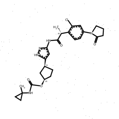 C[C@@H](C(=O)Nc1cc([C@H]2CC[C@@H](OC(=O)NC3(C)CC3)C2)[nH]n1)c1ccc(N2CCCC2=O)cc1Cl